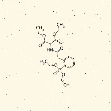 CCOC(=O)C(NC(=O)Cc1ccccc1P(=O)(OCC)OCC)C(=O)OCC